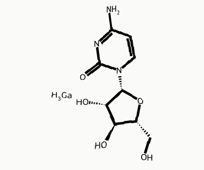 Nc1ccn([C@@H]2O[C@H](CO)[C@@H](O)[C@@H]2O)c(=O)n1.[GaH3]